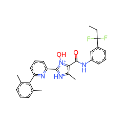 CCC(F)(F)c1cccc(NC(=O)c2c(C)[nH]c(-c3cccc(-c4c(C)cccc4C)n3)[n+]2O)c1